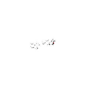 Nc1ccncc1S(=O)(=O)N1CCN(c2ccc(C(O)(C(F)(F)F)C(F)(F)F)cc2)CC1